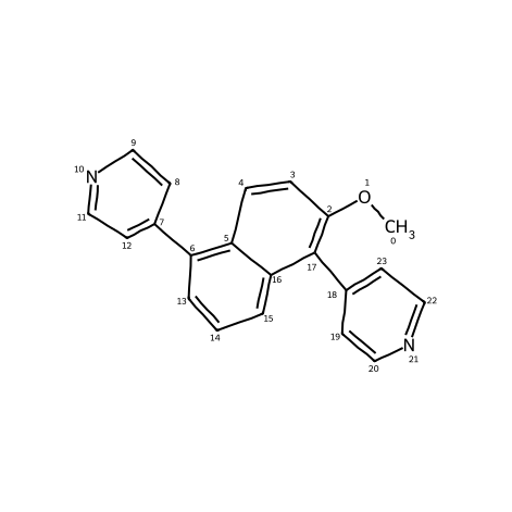 COc1ccc2c(-c3ccncc3)cccc2c1-c1ccncc1